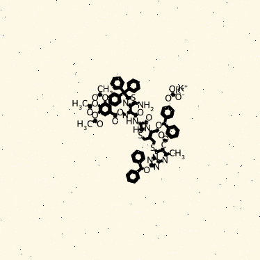 CC(=O)Oc1cc(C(=O)ON=C(C(=O)N[C@@H]2C(=O)N3C(C(=O)OC(c4ccccc4)c4ccccc4)=C(CSC4C(=C=O)C(C)=Nc5nc(OC(c6ccccc6)c6ccccc6)nn54)CS[C@H]23)c2nc(C(c3ccccc3)(c3ccccc3)c3ccccc3)sc2N)cc(OC(C)=O)c1OC(C)=O.O=C([O-])[O-].[K+].[K+]